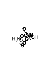 NC(=O)c1cccc(Cc2cc(-c3ccc4c(c3)OCO4)cc3[nH]c(C(=O)O)c(NC(=O)C=Cc4ccccc4)c23)c1